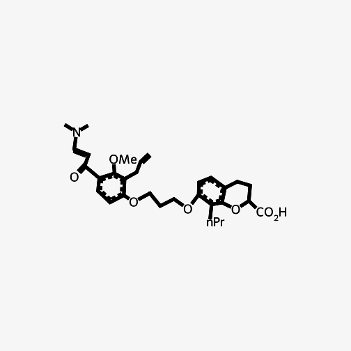 C=CCc1c(OCCCOc2ccc3c(c2CCC)OC(C(=O)O)CC3)ccc(C(=O)C=CN(C)C)c1OC